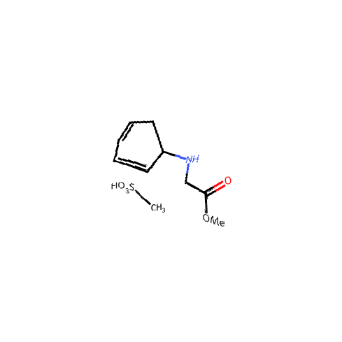 COC(=O)CNC1C=CC=CC1.CS(=O)(=O)O